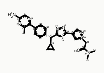 Cc1nc(N)cnc1-c1ccc([C@H](c2noc(-c3cnn(CC(=O)N(C)C)c3)n2)C2CC2)cc1